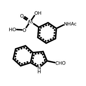 CC(=O)Nc1cccc([As](=O)(O)OO)c1.O=Cc1cc2ccccc2[nH]1